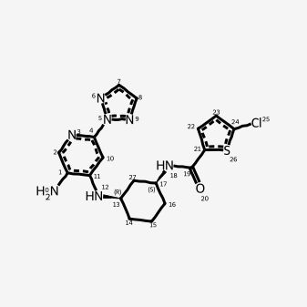 Nc1cnc(-n2nccn2)cc1N[C@@H]1CCC[C@H](NC(=O)c2ccc(Cl)s2)C1